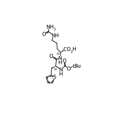 CC(C)(C)OC(=O)N[C@@H](Cc1cccs1)C(=O)N[C@@H](CCCNC(N)=O)C(=O)O